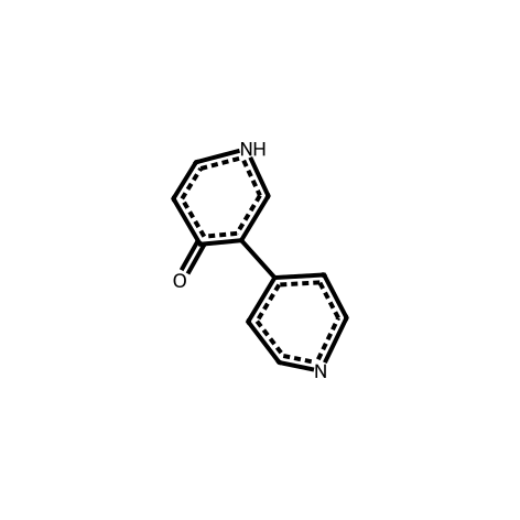 O=c1cc[nH]cc1-c1ccncc1